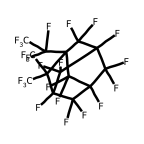 FC(F)(F)C(F)(F)C12C(F)(F)C3(F)C(F)(F)C(F)(C(F)(F)C(F)(C3(F)F)C1(C(F)(F)F)C(F)(F)F)C2(F)F